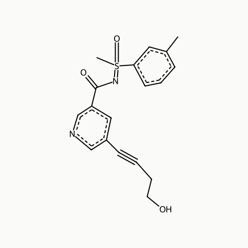 Cc1cccc(S(C)(=O)=NC(=O)c2cncc(C#CCCO)c2)c1